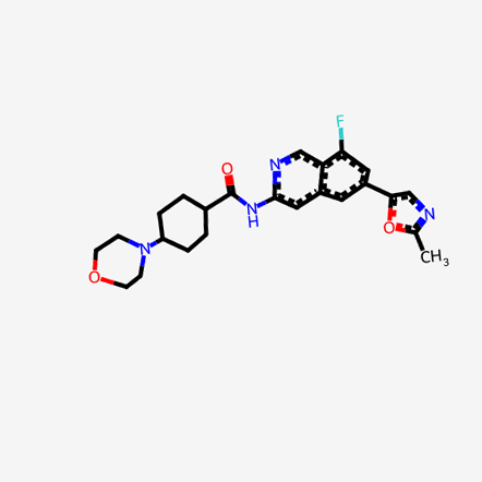 Cc1ncc(-c2cc(F)c3cnc(NC(=O)C4CCC(N5CCOCC5)CC4)cc3c2)o1